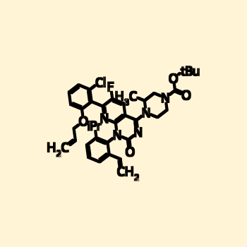 C=CCOc1cccc(Cl)c1-c1nc2c(cc1F)c(N1CCN(C(=O)OC(C)(C)C)CC1C)nc(=O)n2-c1c(C=C)cccc1C(C)C